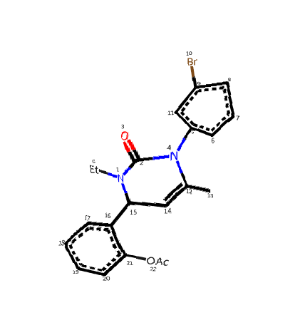 CCN1C(=O)N(c2cccc(Br)c2)C(C)=CC1c1ccccc1OC(C)=O